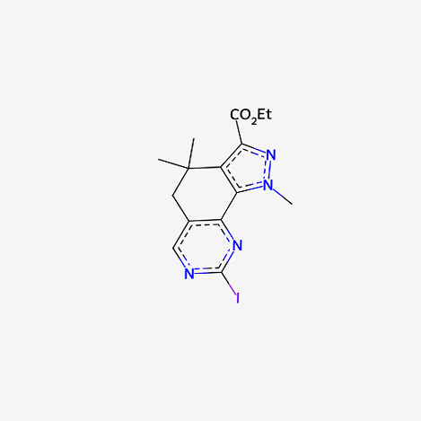 CCOC(=O)c1nn(C)c2c1C(C)(C)Cc1cnc(I)nc1-2